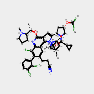 C[C@H](Oc1nc2c(F)c(-c3cccc(Cl)c3Cl)c(CCC#N)cc2c2c1cc([C@H]1C[C@H](OC(F)F)CN1C(=O)C1CC1)n2[C@H]1[C@H]2CN[C@@H]1C2)C1CCCN1C